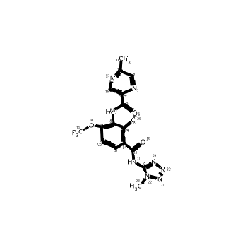 Cc1cnc(C(=O)Nc2c(OC(F)(F)F)ccc(C(=O)Nc3nnnn3C)c2Cl)cn1